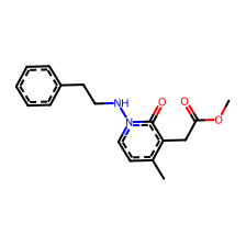 COC(=O)Cc1c(C)ccn(NCCc2ccccc2)c1=O